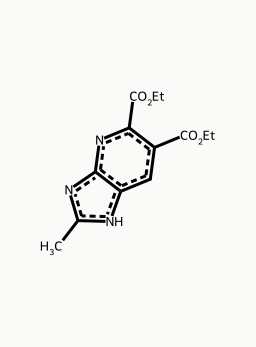 CCOC(=O)c1cc2[nH]c(C)nc2nc1C(=O)OCC